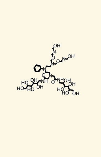 O=C(CN(CCN(CCN(CO/C=N/CO)CO/C=N/CO)c1ccccc1)CC(=O)NCC(O)C(O)C(O)C(O)CO)NCC(O)C(O)C(O)C(O)CO